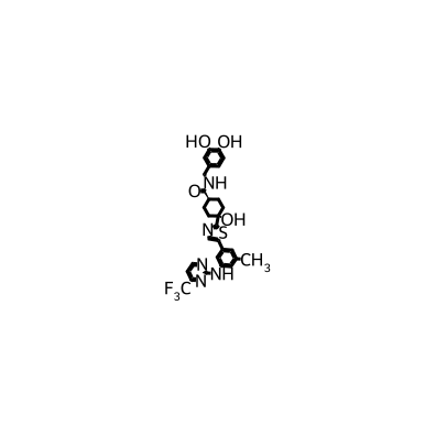 Cc1cc(Nc2nccc(C(F)(F)F)n2)cc(-c2cnc([C@]3(O)CC[C@@H](C(=O)NCc4ccc(O)c(O)c4)CC3)s2)c1